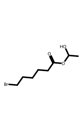 CC(O)OC(=O)CCCCCBr